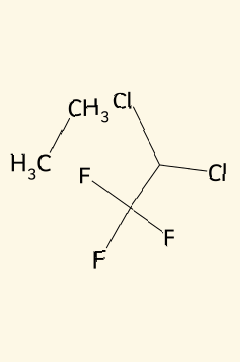 CC.FC(F)(F)C(Cl)Cl